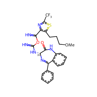 COCCCc1sc(C(F)(F)F)nc1C(=N)OC(=N)N[C@H]1N=C(c2ccccc2)c2ccccc2NC1=O